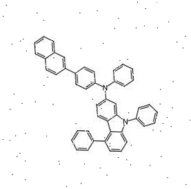 c1ccc(-c2cccc3c2c2ccc(N(c4ccccc4)c4ccc(-c5ccc6ccccc6c5)cc4)cc2n3-c2ccccc2)cc1